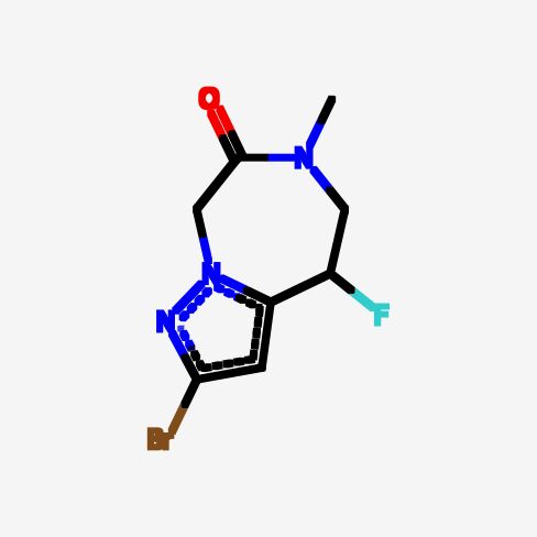 CN1CC(F)c2cc(Br)nn2CC1=O